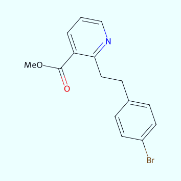 COC(=O)c1cccnc1CCc1ccc(Br)cc1